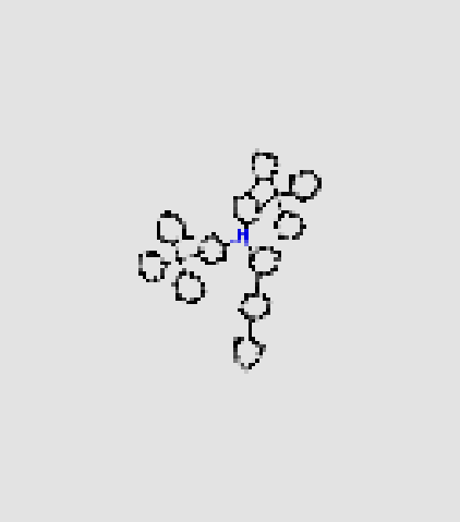 c1ccc(-c2ccc(-c3cccc(N(c4ccc5c(c4)-c4ccccc4C5(c4ccccc4)c4ccccc4)c4ccc5c(c4)C(c4ccccc4)(c4ccccc4)c4ccccc4-5)c3)cc2)cc1